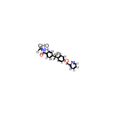 CC(C)C(C)(c1ccc(OCc2ccccn2)cc1)c1ccc(C(=O)N[C@H](C)C=O)cc1